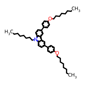 CCCCCCCCOc1ccc(-c2ccc3c(c2)c2cc(-c4ccc(OCCCCCCCC)cc4)ccc2n3CCCCCCCC)cc1